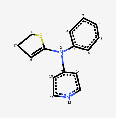 C1=C(N(c2ccccc2)c2ccncc2)SCC1